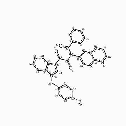 O=C(C(=O)N(C(=O)c1ccccc1)c1ccc2ncccc2c1)c1cn(Cc2ccc(Cl)cc2)c2ccccc12